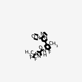 Cc1cc(F)c(NC(=O)c2cnn(C(C)C(F)F)c2)cc1-c1cc(N2CCOCC2)c2nccn2c1